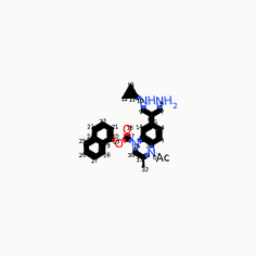 CC(=O)N1c2ccc(C(CN)CNC3CC3)cc2N(C(=O)Oc2cccc3ccccc23)C[C@@H]1C